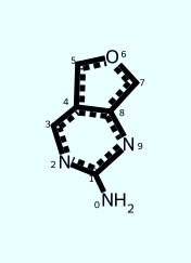 Nc1ncc2cocc2n1